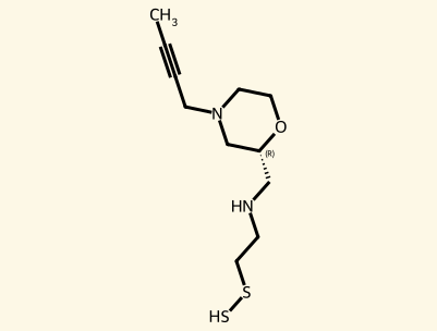 CC#CCN1CCO[C@H](CNCCSS)C1